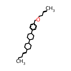 CC=CCCOCc1ccc(C2CCC(C3CCC(/C=C/CCC)CC3)CC2)cc1